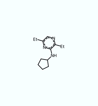 CCc1cnc(CC)c(NC2CCCC2)n1